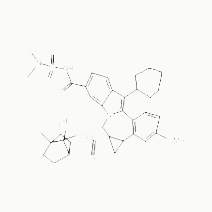 COc1ccc2c(c1)C1C[C@@]1(C(=O)N[C@@H]1C3CCC(C)([C@@H]1O)C3(C)C)Cn1c-2c(C2CCCCC2)c2ccc(C(=O)NS(=O)(=O)N(C)C)cc21